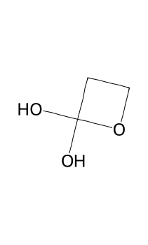 OC1(O)CCO1